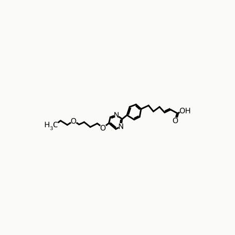 CCCOCCCCOc1cnc(-c2ccc(CCC/C=C/C(=O)O)cc2)nc1